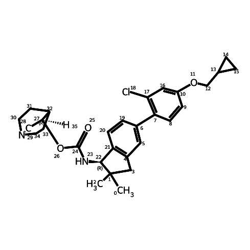 CC1(C)Cc2cc(-c3ccc(OCC4CC4)cc3Cl)ccc2[C@@H]1NC(=O)O[C@H]1CN2CCC1CC2